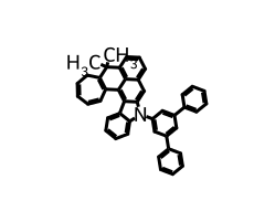 CC1(C)C2=C(C=CC=CC2)c2c3c1cccc3cc1c2c2ccccc2n1-c1cc(-c2ccccc2)cc(-c2ccccc2)c1